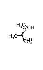 CC(C)=O.CO.O